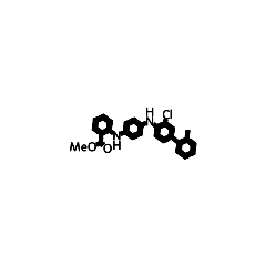 COC(=O)c1ccccc1Nc1ccc(Nc2ccc(-c3ccccc3C)cc2Cl)cc1